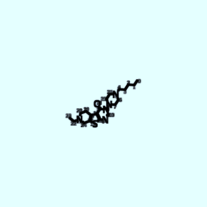 CCCCCN1CCN(n2cnc3sc4c(c3c2=O)CCN(CC)C4)CC1